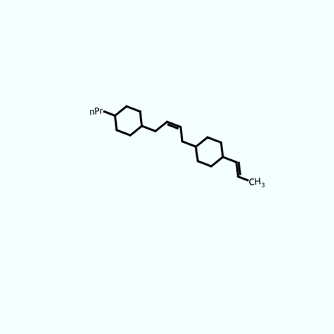 CC=CC1CCC(C/C=C\CC2CCC(CCC)CC2)CC1